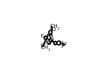 C=CC(=O)N1CCc2nc(-c3nc(-c4ccc5c(c4)CCN(CC(F)F)CC5)c4ccsc4c3-c3c(F)cc(F)cc3OCCOC)sc2C1